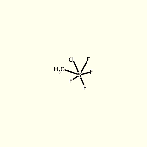 CS(F)(F)(F)(F)Cl